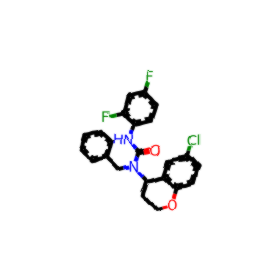 O=C(Nc1ccc(F)cc1F)N(Cc1ccccc1)C1CCOc2ccc(Cl)cc21